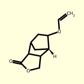 C=COC1CC2C[C@H]1C1COC(=O)C21